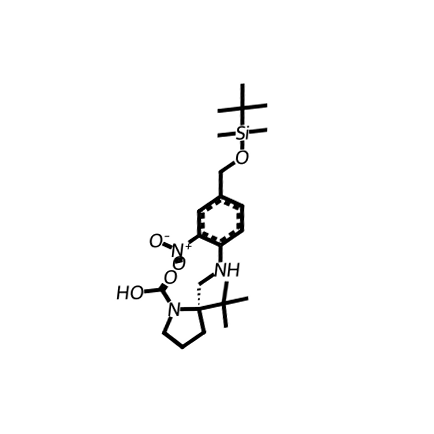 CC(C)(C)[C@@]1(CNc2ccc(CO[Si](C)(C)C(C)(C)C)cc2[N+](=O)[O-])CCCN1C(=O)O